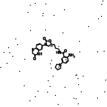 Nc1ccc(N2CCCC2)cc1C(=O)NCCC[C@H]1CN(c2ccc3c(c2)NC(=O)CS3)C(=O)O1